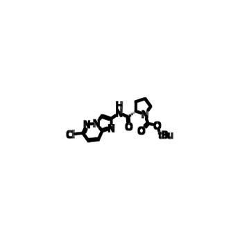 CC(C)(C)OC(=O)N1CCC[C@H]1C(=O)Nc1cn2nc(Cl)ccc2n1